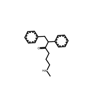 [CH3][AlH][CH2]CCC(=O)C(Cc1ccccc1)c1ccccc1